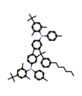 CCCCCCc1cccc(C2(C)c3cc(N(c4ccc(C)cc4)c4c(C)cc(C(C)(C)C)cc4C)ccc3-c3ccc(N(c4ccc(C)cc4)c4c(C)cc(C(C)(C)C)cc4C)cc32)c1